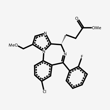 COCc1cnc2n1-c1ccc(Cl)cc1C(c1ccccc1F)=N[C@H]2CCC(=O)OC